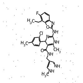 CCc1c(F)ccc2nc(NC3=NC(c4ccc(C)cc4Cl)C(C(=O)NC/C(C=N)=C/NC)=C(C)N3)oc12